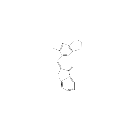 O=C1C(=Cc2cc3c(cc2O)OCO3)Oc2ccccc21